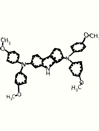 COc1ccc(N(c2ccc(OC)cc2)c2ccc3c(c2)[nH]c2cc(N(c4ccc(OC)cc4)c4ccc(OC)cc4)ccc23)cc1